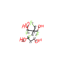 OC(F)C(CF)(CF)C(O)F.OCCCO